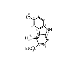 CCOC(=O)c1ncc2[nH]c3ccc(CC)cc3c2c1C